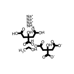 CCO.N.O=C(O)CC(O)(CC(=O)O)C(=O)O.O=C([O-])CC(O)(CC(=O)[O-])C(=O)[O-].[Na+].[Na+].[Na+]